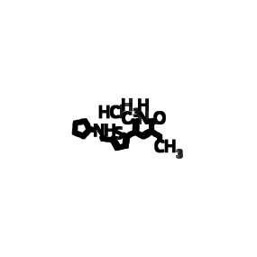 CCc1cc(-c2ccc(CNC3CCCC3)s2)c(C)[nH]c1=O.Cl